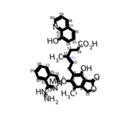 COc1c(C)c2c(c(O)c1C/C=C(\C)CCC(=O)O)C(=O)OC2.NNc1nncc2ccccc12.Oc1cccc2cccnc12